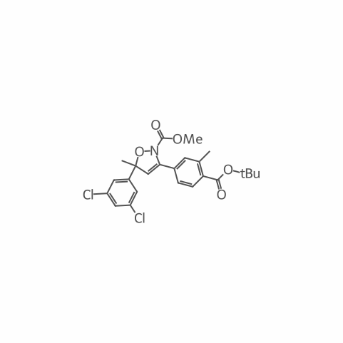 COC(=O)N1OC(C)(c2cc(Cl)cc(Cl)c2)C=C1c1ccc(C(=O)OC(C)(C)C)c(C)c1